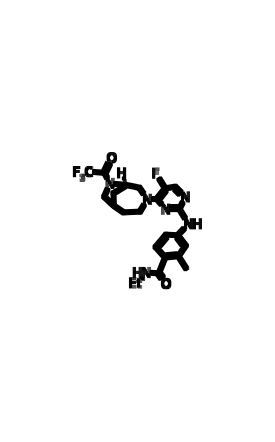 CCNC(=O)c1ccc(Nc2ncc(F)c(N3CCC4C[C@H](C3)N(C(=O)C(F)(F)F)C4)n2)cc1C